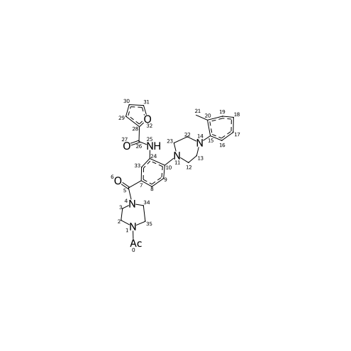 CC(=O)N1CCN(C(=O)c2ccc(N3CCN(c4ccccc4C)CC3)c(NC(=O)c3ccco3)c2)CC1